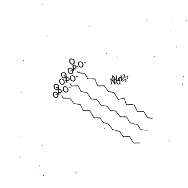 CCCCCCCCCCCCCCCCP(=O)([O-])[O-].CCCCCCCCCCCCCCCCP(=O)([O-])[O-].CCCCCCCCCCCCCCCCP(=O)([O-])[O-].[Nd+3].[Nd+3]